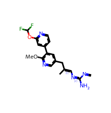 C=N/C(N)=N\C=C(/C)Cc1cnc(OC)c(-c2ccnc(OC(F)F)c2)c1